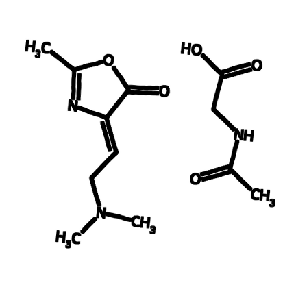 CC(=O)NCC(=O)O.CC1=N/C(=C\CN(C)C)C(=O)O1